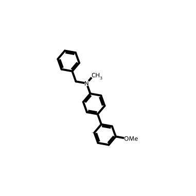 COc1cc[c]c(-c2ccc(N(C)Cc3ccccc3)cc2)c1